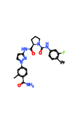 Cc1cc(-n2ccc(NC(=O)[C@H]3CCCN3C(=O)Nc3ccc(C(C)C)c(F)c3)n2)ccc1C(N)=O